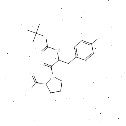 CC(C)(C)OC(=O)NC(Cc1ccc(Cl)cc1)C(=O)N1C[C@H](O)C[C@H]1C(=O)O